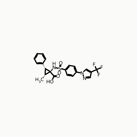 C[C@@H]1[C@H](c2ccccc2)[C@]1(NS(=O)(=O)c1ccc(-n2cc(C(F)(F)F)cn2)cc1)C(=O)O